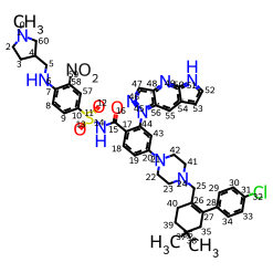 CN1CCC(CNc2ccc(S(=O)(=O)NC(=O)c3ccc(N4CCN(CC5=C(c6ccc(Cl)cc6)CC(C)(C)CC5)CC4)cc3-n3ncc4nc5[nH]ccc5cc43)cc2[N+](=O)[O-])C1